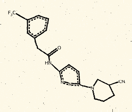 N#CC1CCCN(c2ccc(NC(=O)Cc3cccc(C(F)(F)F)c3)nn2)C1